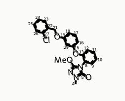 COc1nn(C)c(=O)n1-c1ccccc1Oc1cccc(OCc2ccccc2Cl)c1